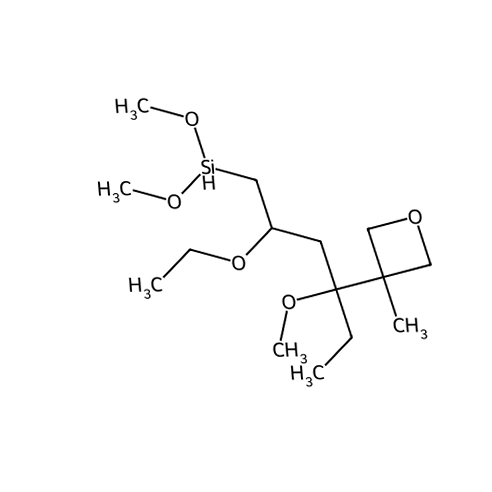 CCOC(C[SiH](OC)OC)CC(CC)(OC)C1(C)COC1